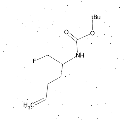 C=CCCC(CF)NC(=O)OC(C)(C)C